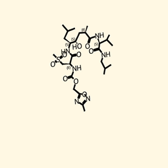 Cc1noc(COC(=O)N[C@@H](CS(C)(=O)=O)C(=O)N[C@@H](CC(C)C)[C@@H](O)C[C@@H](C)C(=O)N[C@H](C(=O)NCC(C)C)C(C)C)n1